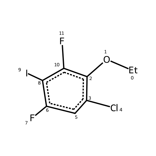 CCOc1c(Cl)cc(F)c(I)c1F